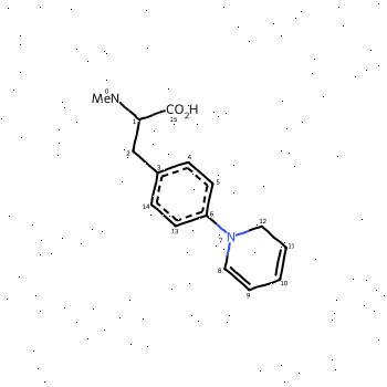 CNC(Cc1ccc(N2C=CC=CC2)cc1)C(=O)O